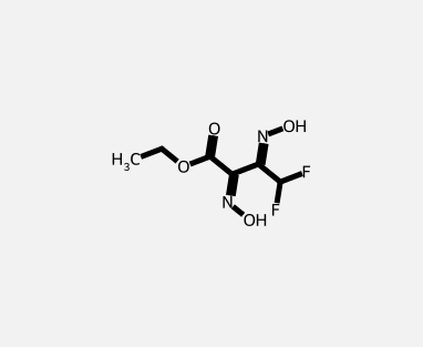 CCOC(=O)C(=NO)C(=NO)C(F)F